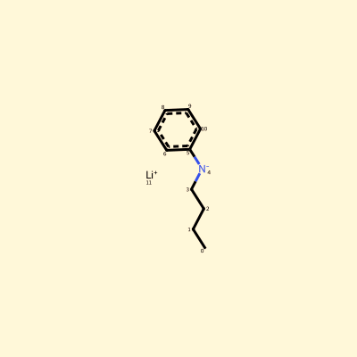 CCCC[N-]c1ccccc1.[Li+]